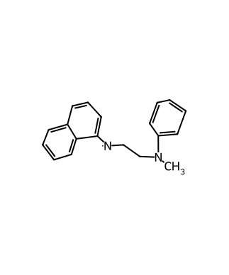 CN(CC[N]c1cccc2ccccc12)c1ccccc1